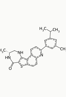 Cc1cc(-c2ccc3c(ccc4sc5c(c43)NC[C@@H](C)NC5=O)n2)cc(C(C)C)c1